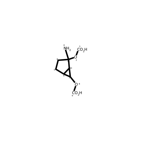 NC1(OC(=O)O)CCC2C(OC(=O)O)C21